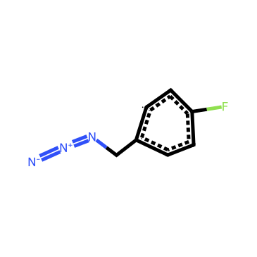 [N-]=[N+]=NCc1[c]cc(F)cc1